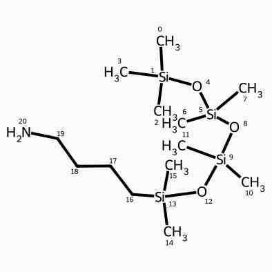 C[Si](C)(C)O[Si](C)(C)O[Si](C)(C)O[Si](C)(C)CCCCN